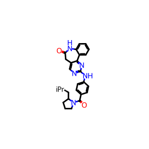 CC(C)CC1CCCN1C(=O)c1ccc(Nc2ncc3c(n2)-c2ccccc2NC(=O)C3)cc1